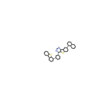 c1cc(-c2cccc3c2sc2ccccc23)cc(-c2ncnc3c2sc2ccc(-c4cccc5ccccc45)cc23)c1